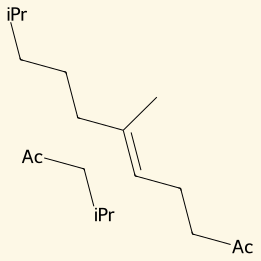 CC(=O)CC(C)C.CC(=O)CC/C=C(\C)CCCC(C)C